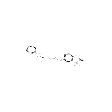 CC1(C)C(=O)Nc2ccc(OCCCCS(=O)(=O)c3ccccn3)cc21